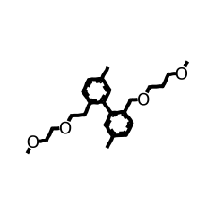 COCCCOCc1ccc(C)cc1-c1cc(C)ccc1CCOCCOC